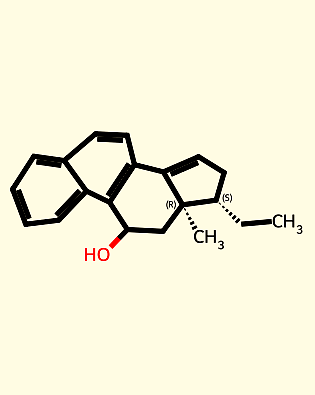 CC[C@H]1CC=C2c3ccc4ccccc4c3C(O)C[C@@]21C